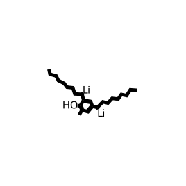 [Li][CH](CCCCCCCC)c1cc(C)c(O)c([CH]([Li])CCCCCCCC)c1